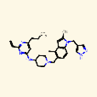 C=Cc1nc(CCC(F)(F)F)cc(NC2CCN(Cc3ccc4c(cc(C#N)n4Cc4cn[nH]c4)c3C)CC2)n1